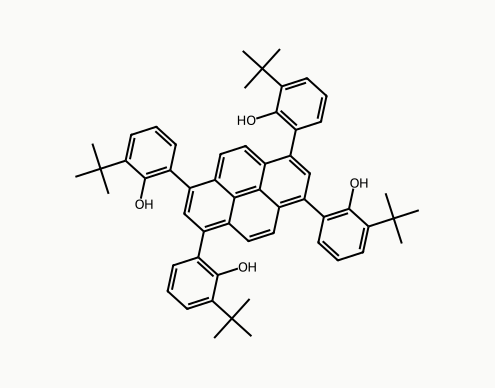 CC(C)(C)c1cccc(-c2cc(-c3cccc(C(C)(C)C)c3O)c3ccc4c(-c5cccc(C(C)(C)C)c5O)cc(-c5cccc(C(C)(C)C)c5O)c5ccc2c3c54)c1O